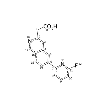 O=C(O)Cc1cc2cc(-c3cccc(F)n3)ccc2cn1